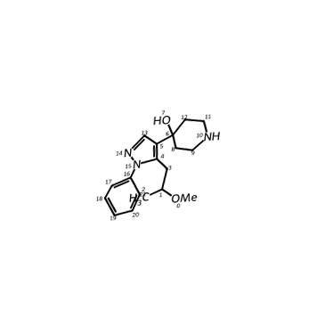 COC(C)Cc1c(C2(O)CCNCC2)cnn1-c1ccccc1